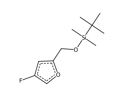 CC(C)(C)[Si](C)(C)OCc1cc(F)co1